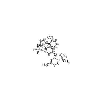 CC(C)[C@@H]1CC[C@@H](C)C[C@H]1Oc1ccc([C@@]2(CC(F)(F)F)C(=O)C=C[C@H]2c2ccccc2Cl)cc1